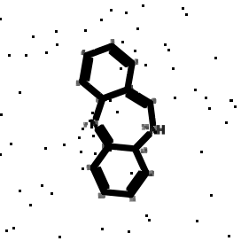 [C]1=C2C=CC=CC2N=C2C=CC=CC2N1